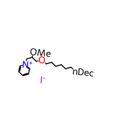 CCCCCCCCCCCCCCCCOCC(C[n+]1ccccc1)OC.[I-]